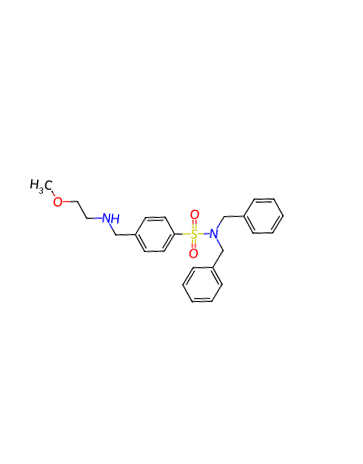 COCCNCc1ccc(S(=O)(=O)N(Cc2ccccc2)Cc2ccccc2)cc1